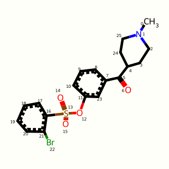 CN1CCC(C(=O)c2cccc(OS(=O)(=O)c3ccccc3Br)c2)CC1